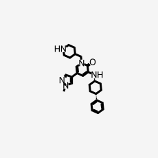 Cn1cc(-c2cc(N[C@H]3CC[C@@H](c4ccccc4)CC3)c(=O)n(CC3CCNCC3)c2)cn1